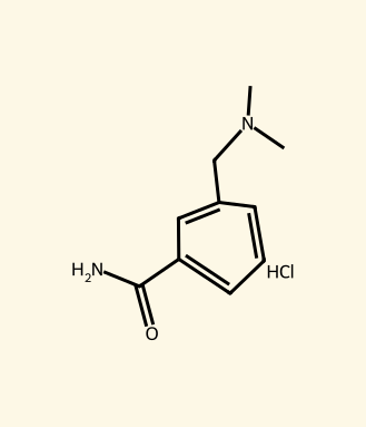 CN(C)Cc1cccc(C(N)=O)c1.Cl